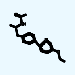 CCOc1ccc(-c2ccc(CC(C)NC(C)=O)cc2)nc1